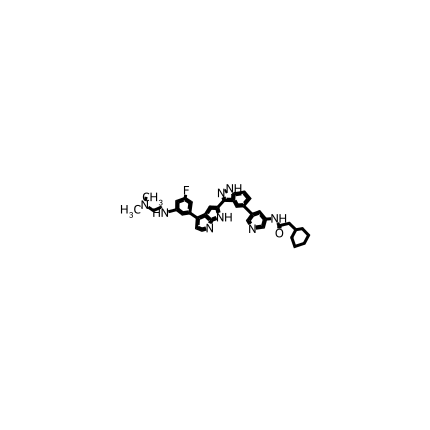 CN(C)CCNc1cc(F)cc(-c2ccnc3[nH]c(-c4n[nH]c5ccc(-c6cncc(NC(=O)CC7CCCCC7)c6)cc45)cc23)c1